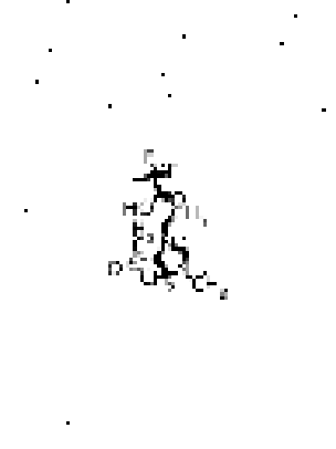 CCN1C=CN(C)C1.C[S+](C)[O-].O=C(O)C(F)(F)F